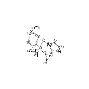 Oc1ccc(Cl)cc1C(O)(Cn1ccnc1)C1CC1